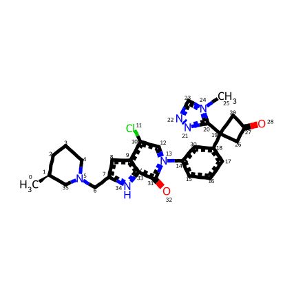 C[C@H]1CCCN(Cc2cc3c(Cl)cn(-c4cccc(C5(c6nncn6C)CC(=O)C5)c4)c(=O)c3[nH]2)C1